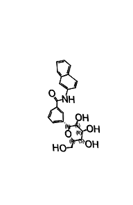 O=C(Nc1ccc2ccccc2c1)c1cccc([C@H]2O[C@H](CO)[C@@H](O)[C@H](O)[C@@H]2O)c1